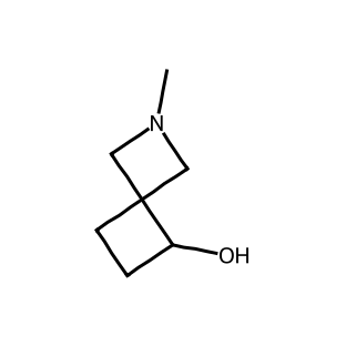 CN1CC2(CCC2O)C1